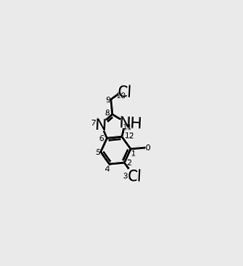 Cc1c(Cl)ccc2nc(CCl)[nH]c12